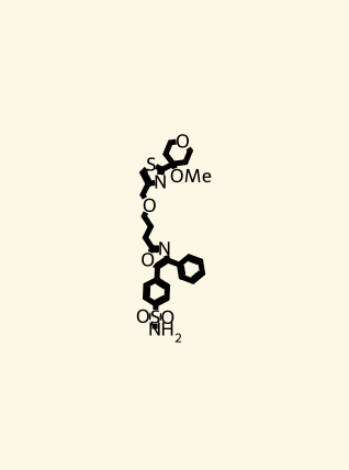 COC1(c2nc(COCCCc3nc(-c4ccccc4)c(-c4ccc(S(N)(=O)=O)cc4)o3)cs2)CCOCC1